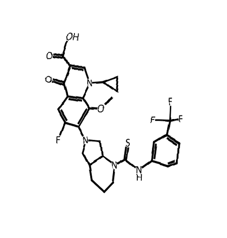 COc1c(N2CC3CCCN(C(=S)Nc4cccc(C(F)(F)F)c4)C3C2)c(F)cc2c(=O)c(C(=O)O)cn(C3CC3)c12